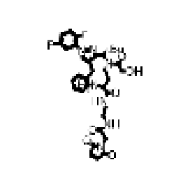 CC(C)(C)C(c1nn(-c2cc(F)ccc2F)cc1Cc1ccccc1)N(CCC(N)C(=O)NCCNC(=O)CN1C(=O)C=CC1=O)C(=O)CO